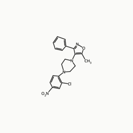 Cc1onc(-c2ccccc2)c1N1CCN(c2ccc([N+](=O)[O-])cc2Cl)CC1